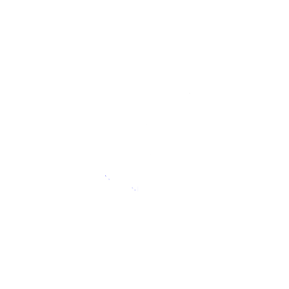 Cc1ccc(C(=O)C=C2NCCN2)cc1